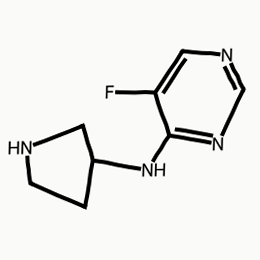 Fc1cncnc1NC1CCNC1